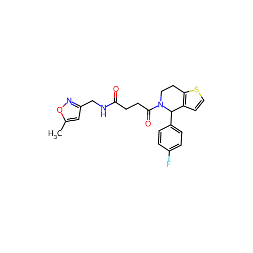 Cc1cc(CNC(=O)CCC(=O)N2CCc3sccc3C2c2ccc(F)cc2)no1